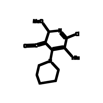 CCCCC1=C(N2CCCCC2)C(=C=O)C(OC)N=C1Cl